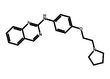 c1ccc2nc(Nc3ccc(OCCN4CCCC4)cc3)ncc2c1